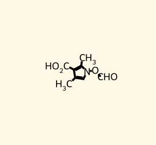 Cc1cn(OC=O)c(C)c1C(=O)O